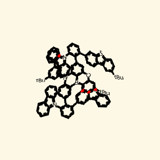 CC(C)(C)c1cc(-c2ccccc2)cc(N2c3ccc(-c4c(-c5ccc6sc7ccccc7c6c5)cccc4-n4c5ccccc5c5ccccc54)cc3B3c4ccc(C(C)(C)C)cc4Oc4cc(-c5c(-c6ccc7c(c6)sc6ccc(C(C)(C)C)cc67)cccc5-n5c6ccccc6c6ccccc65)cc2c43)c1